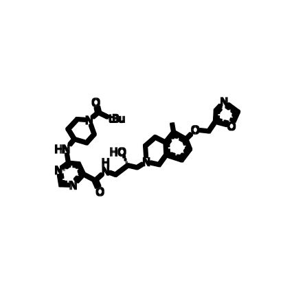 Cc1c(OCc2cnco2)ccc2c1CCN(C[C@@H](O)CNC(=O)c1cc(NC3CCN(C(=O)C(C)(C)C)CC3)ncn1)C2